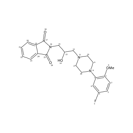 COc1ccc(F)cc1N1CCN(CC(O)CN2C(=O)c3ccccc3C2=O)CC1